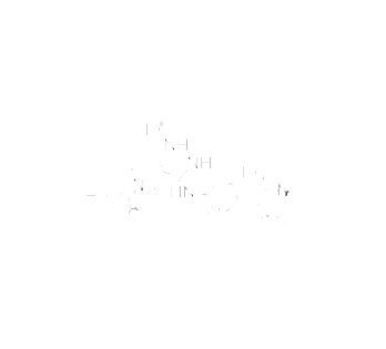 CNC1=C(C(=N)Nc2ccc(-c3cccnc3C)cc2)CN(C(C)=O)CC1